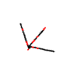 [CH2]CCc1cc(CCCCCCCCCCCCCCCCCCCCCCCCCCCC)c(CCCCCCCCCCCCCCCCCCCCCCCCCCCC)c(CCCCCCCCCCCCCCCCCCCCCCCCCCCC)c1